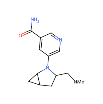 CNCC1CC2CC2N1c1cncc(C(N)=O)c1